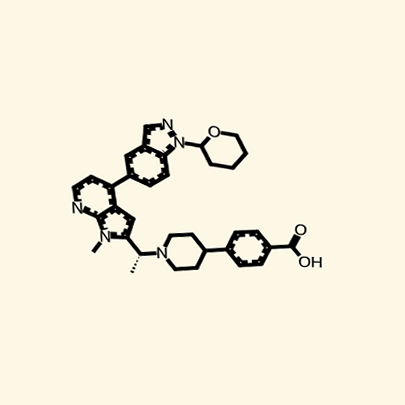 C[C@H](c1cc2c(-c3ccc4c(cnn4C4CCCCO4)c3)ccnc2n1C)N1CCC(c2ccc(C(=O)O)cc2)CC1